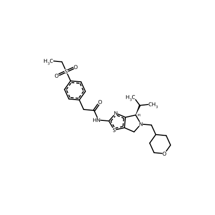 CCS(=O)(=O)c1ccc(CC(=O)Nc2nc3c(s2)CN(CC2CCOCC2)[C@@H]3C(C)C)cc1